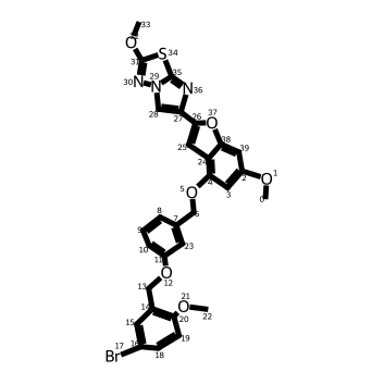 COc1cc(OCc2cccc(OCc3cc(Br)ccc3OC)c2)c2cc(-c3cn4nc(OC)sc4n3)oc2c1